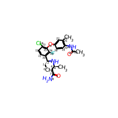 CC[C@@H](N[C@@H](C)CC(N)=O)c1ccc(Cl)c(Oc2ccc(NC(C)=O)c(C)c2)c1F